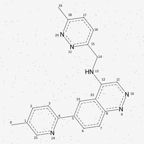 Cc1ccc(-c2ccc3nncc(NCc4ccc(C)nn4)c3c2)nc1